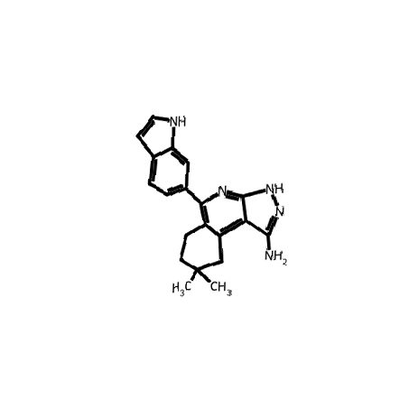 CC1(C)CCc2c(-c3ccc4cc[nH]c4c3)nc3[nH]nc(N)c3c2C1